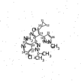 CC(C)n1nc(-c2noc(C3CC3)c2-c2ccn(C)n2)c2c(N)ncc(Cl)c21